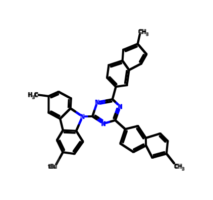 Cc1ccc2cc(-c3nc(-c4ccc5cc(C)ccc5c4)nc(-n4c5ccc(C)cc5c5cc(C(C)(C)C)ccc54)n3)ccc2c1